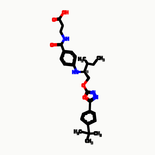 CCC(C)[C@@H](COc1nnc(-c2ccc(C(C)(C)C)cc2)o1)Nc1ccc(C(=O)NCCC(=O)O)cc1